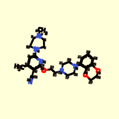 Cc1cc(N2CCN(C)CC2)nc(OCCN2CCN(c3cccc4c3OCCO4)CC2)c1C#N